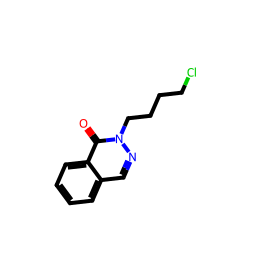 O=c1c2ccccc2cnn1CCCCCl